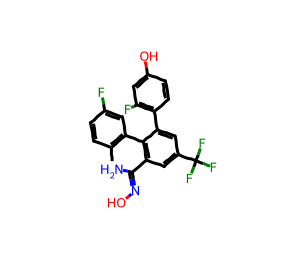 Cc1ccc(F)cc1-c1c(/C(N)=N/O)cc(C(F)(F)F)cc1-c1ccc(O)cc1F